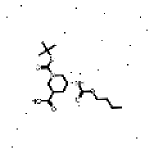 CCCCOC(=O)N[C@@H]1CC(C(=O)O)CN(C(=O)OC(C)(C)C)C1